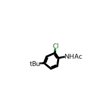 CC(=O)Nc1ccc(C(C)(C)C)cc1Cl